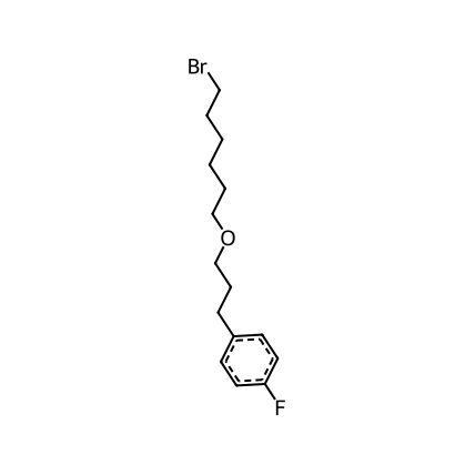 Fc1ccc(CCCOCCCCCCBr)cc1